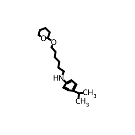 CC(C)c1ccc(NCCCCCCOC2CCCCO2)cc1